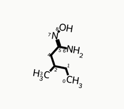 CCC(C)C/C(N)=N/O